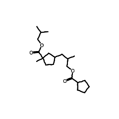 CC(C)COC(=O)C1(C)CCC(CC(C)COC(=O)C2CCCC2)C1